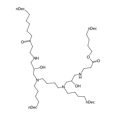 CCCCCCCCCCCCCCCC(=O)CCNCC(O)CN(CCCCCCCCCCCCCC)CCCCN(CCCCCCCCCCCCCC)CC(O)CNCCC(=O)OCCCCCCCCCCCCCC